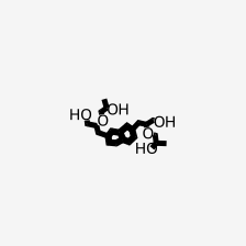 CC(O)COC(CO)Cc1ccc2ccc(CC(CO)OCC(C)O)cc2c1